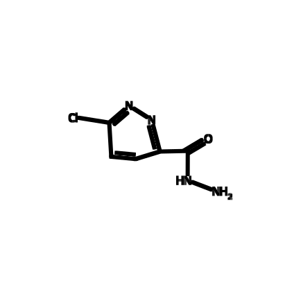 NNC(=O)c1ccc(Cl)nn1